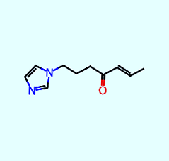 C/C=C/C(=O)CCCn1ccnc1